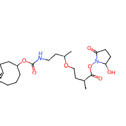 CC(CCNC(=O)OC1CC/C=C/CCC1)OCCC(C)C(=O)ON1C(=O)CCC1O